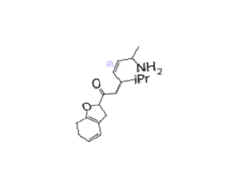 CC(N)/C=C\C(CC(=O)C1CC2=C(CCC=C2)O1)C(C)C